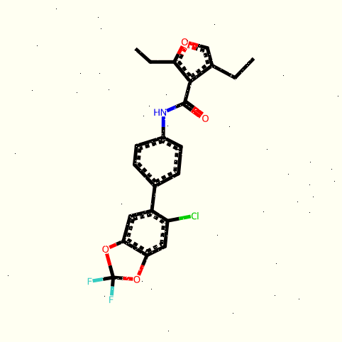 CCc1coc(CC)c1C(=O)Nc1ccc(-c2cc3c(cc2Cl)OC(F)(F)O3)cc1